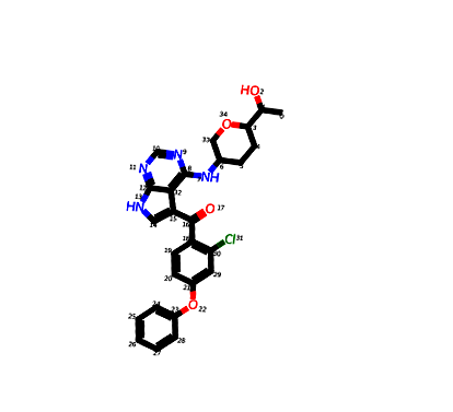 CC(O)C1CCC(Nc2ncnc3[nH]cc(C(=O)c4ccc(Oc5ccccc5)cc4Cl)c23)CO1